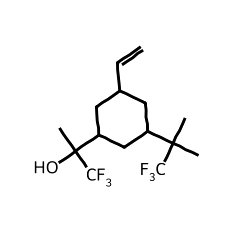 C=CC1CC(C(C)(C)C(F)(F)F)CC(C(C)(O)C(F)(F)F)C1